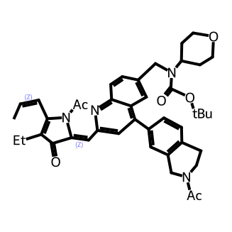 C/C=C\C1=C(CC)C(=O)/C(=C/c2cc(-c3ccc4c(c3)CN(C(C)=O)CC4)c3cc(CN(C(=O)OC(C)(C)C)C4CCOCC4)ccc3n2)N1C(C)=O